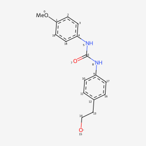 COc1ccc(NC(=O)Nc2ccc(CC[O])cc2)cc1